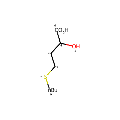 CCCCSCCC(O)C(=O)O